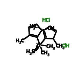 CC1=[C]([Zr]([CH3])([CH3])(=[SiH2])[C]2=C(C)C=CC2C)C(C)C=C1.Cl.Cl